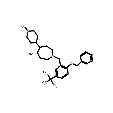 CN1CCC(C2CCN(Cc3cc(C(C)(C)C)ccc3OCc3ccccc3)CC[C@@H]2O)CC1